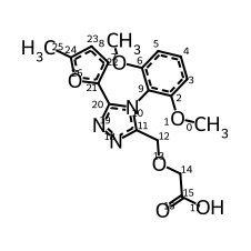 COc1cccc(OC)c1-n1c(COCC(=O)O)nnc1-c1ccc(C)o1